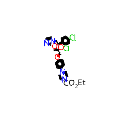 CCOC(=O)N1CCN(c2ccc(OC[C@H]3CO[C@](Cn4ccnc4)(c4ccc(Cl)cc4Cl)O3)cc2)CC1